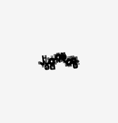 CCNC(=O)c1ccc(-c2ccc3nnn(Cc4ccc5c(ccc[n+]5[O-])c4)c3n2)cc1Cl